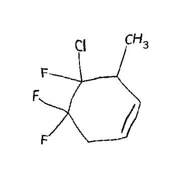 CC1C=CCC(F)(F)C1(F)Cl